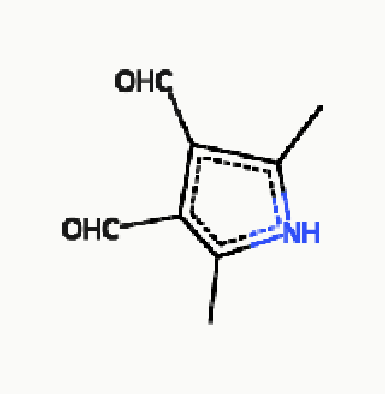 Cc1[nH]c(C)c(C=O)c1C=O